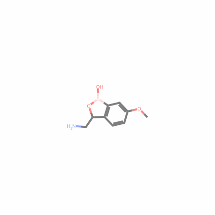 COc1ccc2c(c1)B(O)OC2CN